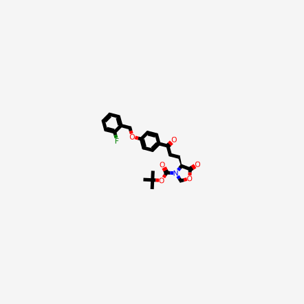 CC(C)(C)OC(=O)N1COC(=O)[C@@H]1CCC(=O)c1ccc(OCc2ccccc2F)cc1